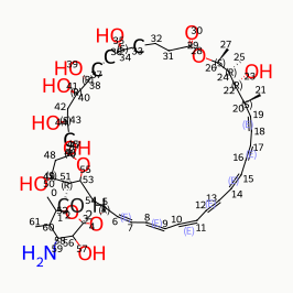 CC1OC(O[C@H]2/C=C/C=C/C=C/C=C/C=C/C=C/C=C/[C@H](C)[C@@H](O)[C@@H](C)[C@H](C)OC(=O)CCC[C@H](O)CC[C@@H](O)[C@H](O)C[C@H](O)C[C@]3(O)C[C@H](O)[C@@H](C(=O)O)C(C2)O3)C(O)C(N)C1C